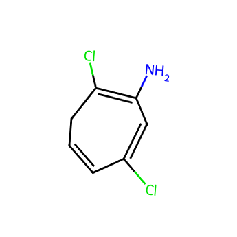 NC1=C(Cl)CC=CC(Cl)=C1